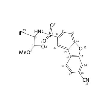 COC(=O)C(NS(=O)(=O)c1ccc2oc3cc(C#N)ccc3c2c1)C(C)C